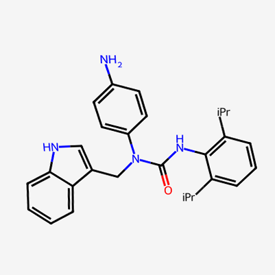 CC(C)c1cccc(C(C)C)c1NC(=O)N(Cc1c[nH]c2ccccc12)c1ccc(N)cc1